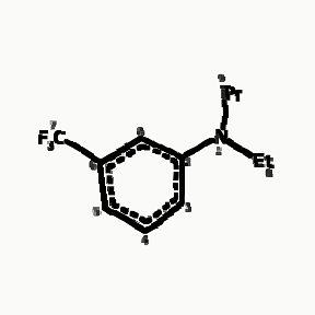 CCN(c1cccc(C(F)(F)F)c1)C(C)C